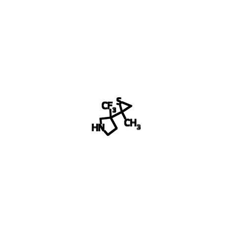 CC1(C2(C(F)(F)F)CCNC2)CS1